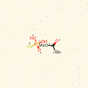 COC(=O)C(C)(C)C.O=P(O)(O)S